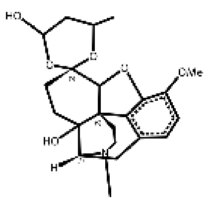 COc1ccc2c3c1OC1[C@@]4(CCC5(O)[C@@H](C2)N(C)CC[C@]315)OC(C)CC(O)O4